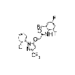 O=C(COc1cc(C(F)(F)F)nn1C1=CC=CCC1Cl)Nc1c(F)cc(F)cc1Br